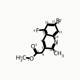 COC(=O)Cc1cc2c(F)cc(Br)cc2nc1C